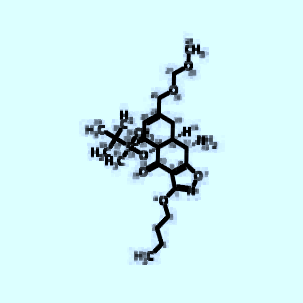 CCCCOc1noc2c1C(=O)[C@@]1(O[Si](C)(C)C(C)(C)C)C(=O)C=C(COCOC)C[C@H]1[C@@H]2N